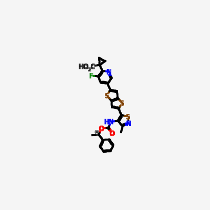 Cc1nsc(-c2cc3sc(-c4cnc(C5(C(=O)O)CC5)c(F)c4)cc3s2)c1NC(=O)O[C@H](C)c1ccccc1